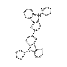 c1ccc(-n2c3ccccc3c3cc(-c4ccc5c(c4)c4ccccc4n5-c4ccccn4)ccc32)cc1